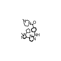 Cc1ncc(-c2ccnc(Nc3ccc(C(=O)N4CCCN(C)CC4)cc3)n2)n1C1CCCC1